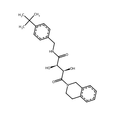 CC(C)(C)c1ccc(CNC(=O)[C@H](O)[C@@H](O)C(=O)N2CCc3ccccc3C2)cc1